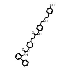 O=C(CCN1CCC(OC(=O)Nc2ccccc2-c2ccccc2)CC1)Nc1ccc(CNCCc2ccc(O)cc2)cc1